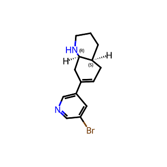 Brc1cncc(C2=CC[C@@H]3CCCN[C@@H]3C2)c1